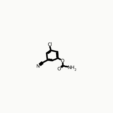 N#Cc1cc(Cl)cc(OC(N)=O)c1